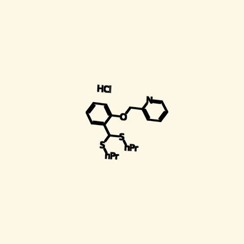 CCCSC(SCCC)c1ccccc1OCc1ccccn1.Cl